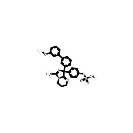 CS(=O)(=O)Oc1ccc(C2(c3cccc(-c4cccc(OC(F)(F)F)c4)c3)N=C(N)N3CCCN=C32)cc1